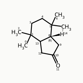 CC1(C)CCC(C)(C)[C@@H]2CC(=O)CC21